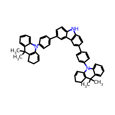 CC1(C)C2=C(C=CCC2)N(c2ccc(-c3ccc4[nH]c5ccc(-c6ccc(N7C8=C(CCC=C8)C(C)(C)c8ccccc87)cc6)cc5c4c3)cc2)c2ccccc21